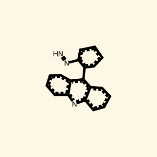 N=Nc1ccccc1-c1c2ccccc2nc2ccccc12